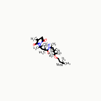 CCC(C)(CC(C)(C)N1C(=O)CC(C)C1=O)C(=O)NC(C)(C)CC(C)(C)C(C)(CC)OCCC(C)(C)NC